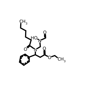 CCCCCC(=O)N(CN(O)C=O)C(CC(=O)OCC)c1ccccc1